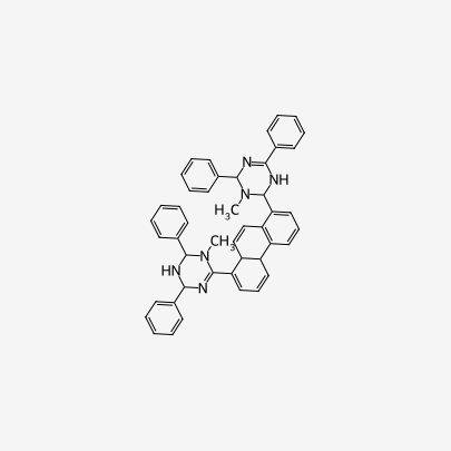 CN1C(C2=CC=CC3c4cccc(C5NC(c6ccccc6)=NC(c6ccccc6)N5C)c4C=CC23)=NC(c2ccccc2)NC1c1ccccc1